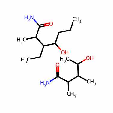 CC(O)C(C)C(C)C(N)=O.CCCC(O)C(CC)C(C)C(N)=O